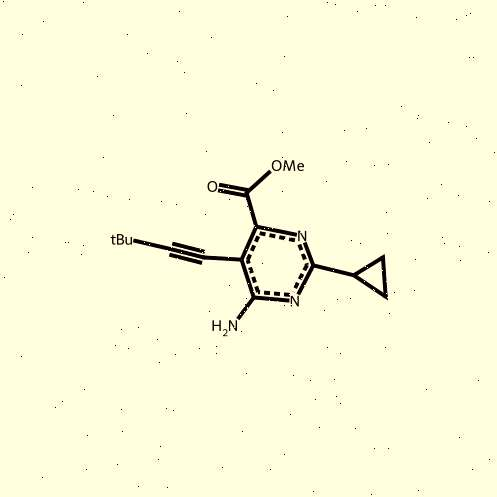 COC(=O)c1nc(C2CC2)nc(N)c1C#CC(C)(C)C